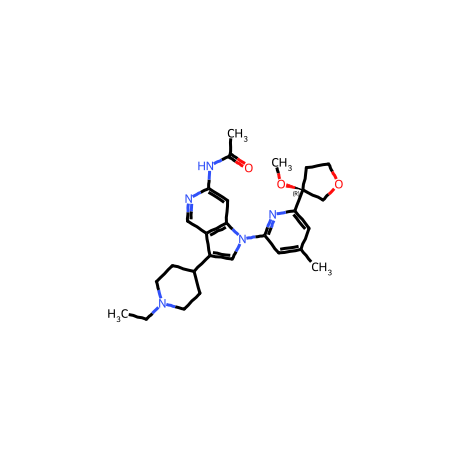 CCN1CCC(c2cn(-c3cc(C)cc([C@]4(OC)CCOC4)n3)c3cc(NC(C)=O)ncc23)CC1